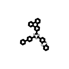 c1ccc(-c2ccc(-c3nc(-c4ccc5c(c4)Oc4ccccc4S5)nc(-c4ccc5c6ccccc6c6ccccc6c5c4)n3)cc2)cc1